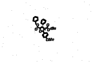 COc1ccc(C2O[C@@H](C(=O)OCc3ccccc3)[C@H](c3ccccc3)N2C(=O)OC(C)(C)C)cc1